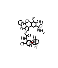 CN1C[C@H]2CC[C@@H](C1)N2c1cc(NC(=O)Cn2cc(-c3cc(C(N)=O)c(O)c(F)c3F)c3c(=O)n4c(nc32)CCC4)c(Cl)cn1